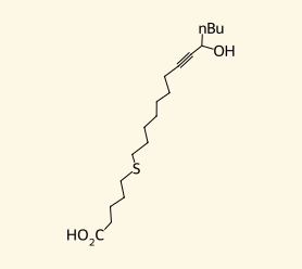 CCCCC(O)C#CCCCCCCCSCCCCC(=O)O